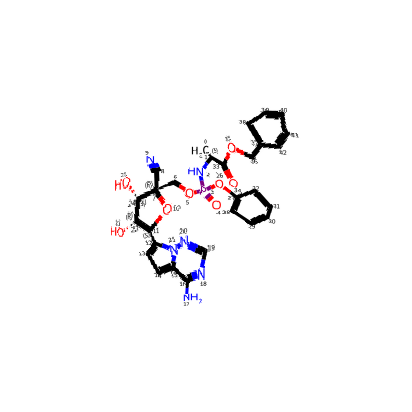 C[C@H](NP(=O)(OC[C@@]1(C#N)O[C@@H](c2ccc3c(N)ncnn23)[C@H](O)[C@@H]1O)Oc1ccccc1)C(=O)OCc1ccccc1